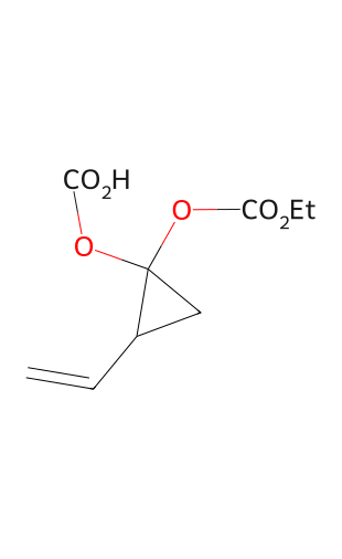 C=CC1CC1(OC(=O)O)OC(=O)OCC